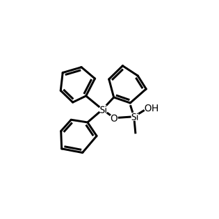 C[Si](C)(O)O[Si](c1ccccc1)(c1ccccc1)c1ccccc1